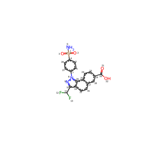 NS(=O)(=O)c1ccc(-n2nc(C(F)F)c3ccc4cc(C(=O)O)ccc4c32)cc1